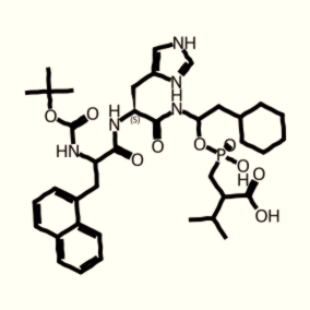 CC(C)C(CP(=O)(O)OC(CC1CCCCC1)NC(=O)[C@H](Cc1c[nH]cn1)NC(=O)C(Cc1cccc2ccccc12)NC(=O)OC(C)(C)C)C(=O)O